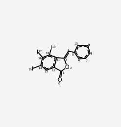 O=C1OC(=Cc2ccccc2)c2c1cc(I)c(I)c2I